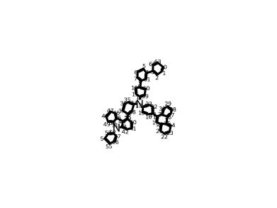 c1ccc(-c2cccc(-c3ccc(N(c4ccc(-c5cc6ccccc6c6ccccc56)cc4)c4cccc(-c5cccc6c5c5ccccc5n6-c5ccccc5)c4)cc3)c2)cc1